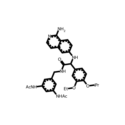 CCOc1cc(C(Nc2ccc3c(N)nccc3c2)C(=O)NCc2cc(NC(C)=O)cc(NC(C)=O)c2)ccc1OC(C)C